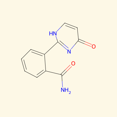 NC(=O)c1ccccc1-c1nc(=O)cc[nH]1